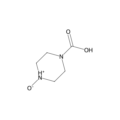 O=C(O)N1CC[NH+]([O-])CC1